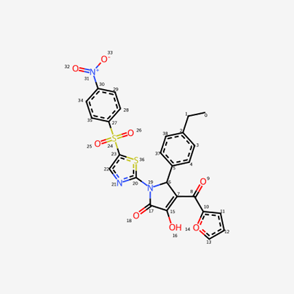 CCc1ccc(C2C(C(=O)c3ccco3)=C(O)C(=O)N2c2ncc(S(=O)(=O)c3ccc([N+](=O)[O-])cc3)s2)cc1